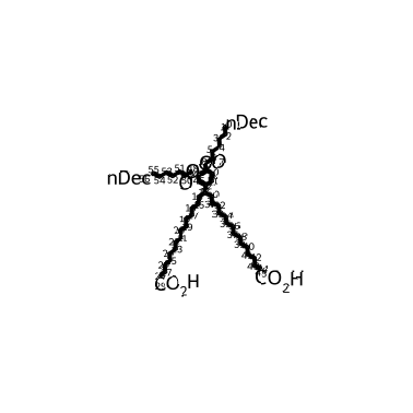 CCCCCCCCCCCCCCCC(=O)Oc1ccc(C(CCCCCCCCCCCCCCCC(=O)O)CCCCCCCCCCCCCCCC(=O)O)cc1OC(=O)CCCCCCCCCCCCCCC